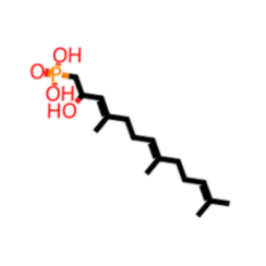 CC(C)=CCC/C(C)=C/CC/C(C)=C/C(O)CP(=O)(O)O